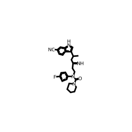 CC(CC(=N)CCN(C(=O)N1CCCCC1)c1ccc(F)cc1)c1c[nH]c2cc(C#N)ccc12